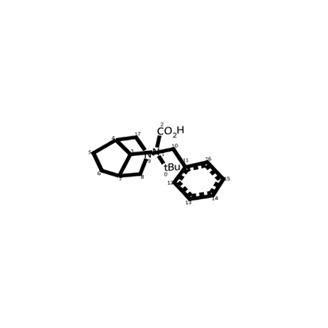 CC(C)(C)N(C(=O)O)C1C2CCC1CN(Cc1ccccc1)C2